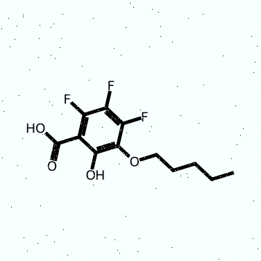 CCCCCOc1c(O)c(C(=O)O)c(F)c(F)c1F